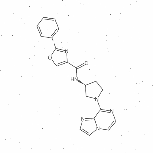 O=C(N[C@H]1CCN(c2nccn3ccnc23)C1)c1coc(-c2ccccc2)n1